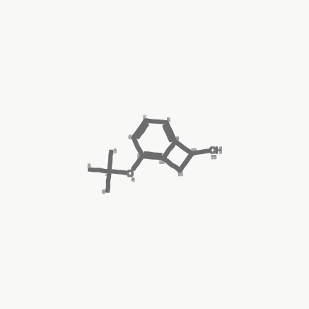 CC(C)(C)Oc1cccc2c1CC2O